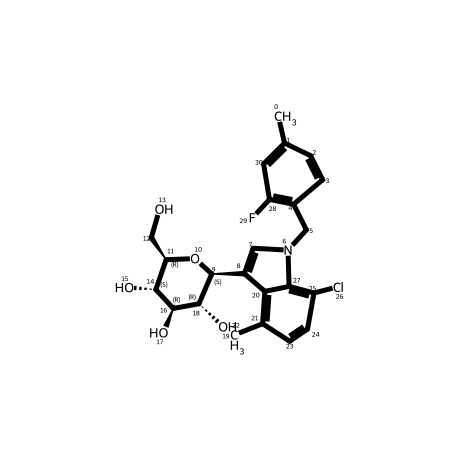 Cc1ccc(Cn2cc([C@@H]3O[C@H](CO)[C@@H](O)[C@H](O)[C@H]3O)c3c(C)ccc(Cl)c32)c(F)c1